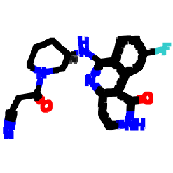 N#CCC(=O)N1CCC[C@H](Nc2nc3cc[nH]c(=O)c3c3cc(F)ccc23)C1